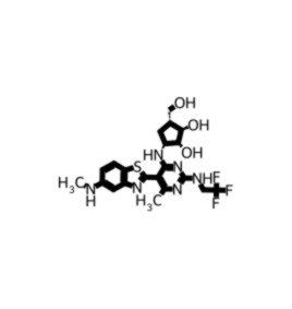 CNc1ccc2sc(-c3c(C)nc(NCC(F)(F)F)nc3N[C@@H]3C[C@H](CO)[C@@H](O)[C@H]3O)nc2c1